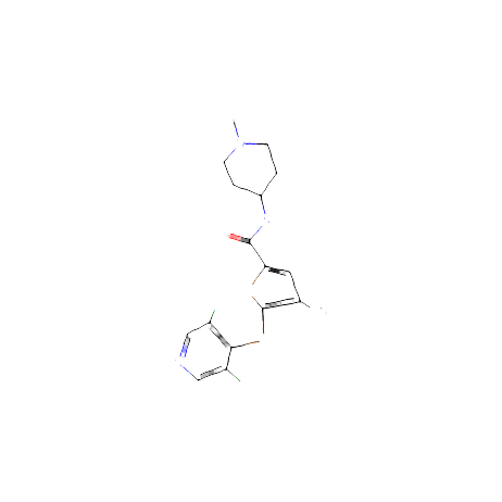 CN1CCC(NC(=O)c2cc(C#N)c(Sc3c(Cl)cncc3Cl)s2)CC1